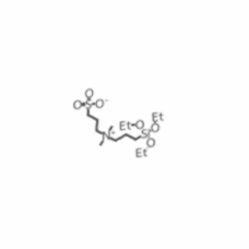 CCO[Si](CCC[N+](C)(C)CCCS(=O)(=O)[O-])(OCC)OCC